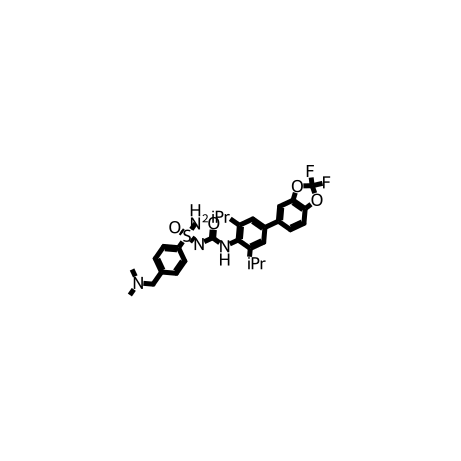 CC(C)c1cc(-c2ccc3c(c2)OC(F)(F)O3)cc(C(C)C)c1NC(=O)N=S(N)(=O)c1ccc(CN(C)C)cc1